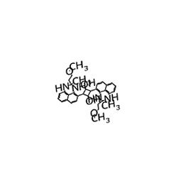 COCCC1(C)Nc2cccc3ccc(C4C(O)C(c5ccc6cccc7c6c5NC(C)(CCOC)N7)C4O)c(c23)N1